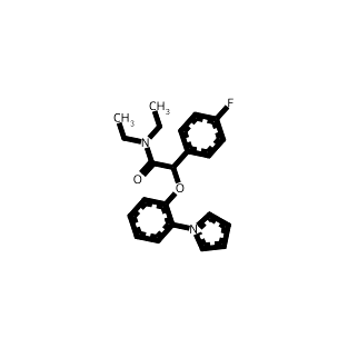 CCN(CC)C(=O)C(Oc1ccccc1-n1cccc1)c1ccc(F)cc1